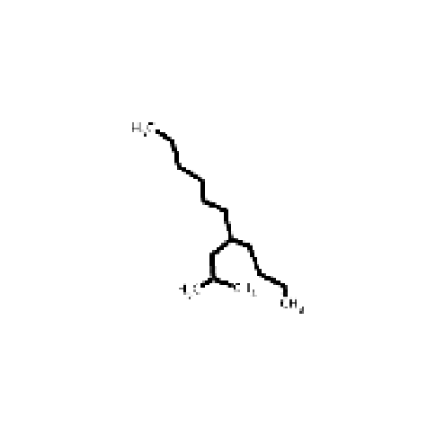 CCCCCCC(CCCC)CC(C)C